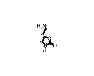 NCC[C@H]1CN(I)C(=O)O1